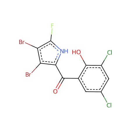 O=C(c1cc(Cl)cc(Cl)c1O)c1[nH]c(F)c(Br)c1Br